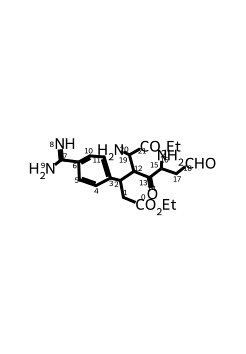 CCOC(=O)CC(c1ccc(C(=N)N)cc1)C(C(=O)C(N)CC=O)C(N)C(=O)OCC